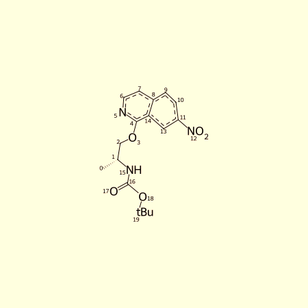 C[C@H](COc1nccc2ccc([N+](=O)[O-])cc12)NC(=O)OC(C)(C)C